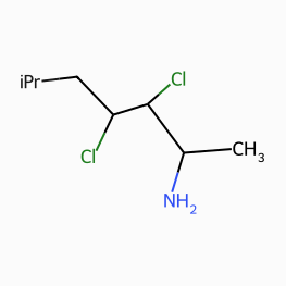 CC(C)CC(Cl)C(Cl)C(C)N